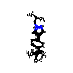 CC(C)Cn1cc(-c2ccc(C(C)(C)C)cc2)cn1